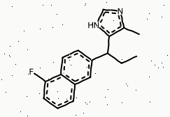 CCC(c1ccc2c(F)cccc2c1)c1[nH]cnc1C